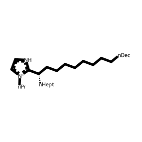 CCCCCCCCCCCCCCCCCC[C@H](CCCCCCC)c1[nH]cc[n+]1CCC